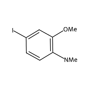 CNc1ccc(I)cc1OC